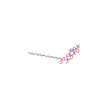 CCCCCCCCCCCCCCCCCC(=O)OCC1(CC)COC2(CC(C)(C)N(OC(=O)C(C)(C)C)C(C)(C)C2)OC1